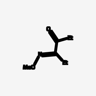 CCC(=O)/C(CC)=N/OC